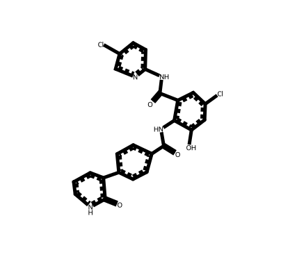 O=C(Nc1c(O)cc(Cl)cc1C(=O)Nc1ccc(Cl)cn1)c1ccc(-c2ccc[nH]c2=O)cc1